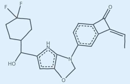 C/C=C1/C(=O)c2ccc(N3COc4cc(C(O)C5CCC(F)(F)CC5)[nH]c43)cc21